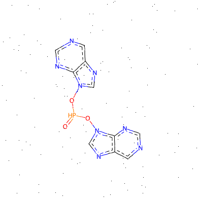 O=[PH](On1cnc2cncnc21)On1cnc2cncnc21